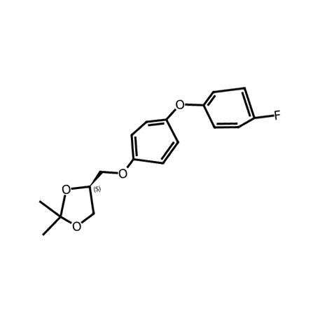 CC1(C)OC[C@H](COc2ccc(Oc3ccc(F)cc3)cc2)O1